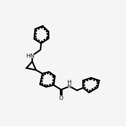 O=C(NCc1ccccc1)c1ccc(C2CC2NCc2ccccc2)cc1